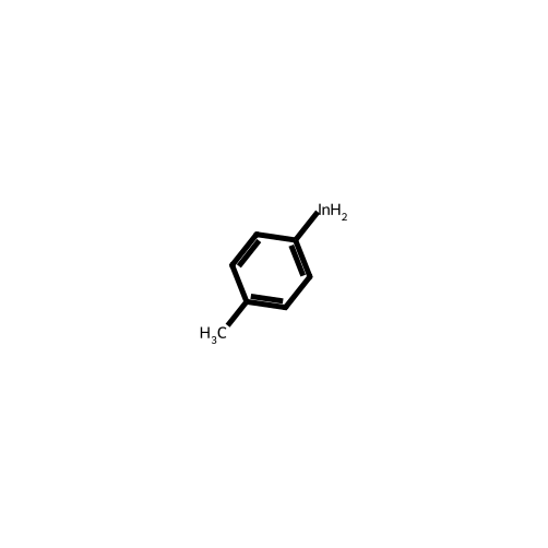 Cc1cc[c]([InH2])cc1